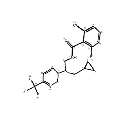 O=C(NCC(CC1CC1)N1C=CC(C(F)(F)F)=NC1)c1c(F)cccc1Cl